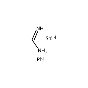 N=CN.[I].[Pb].[Sn]